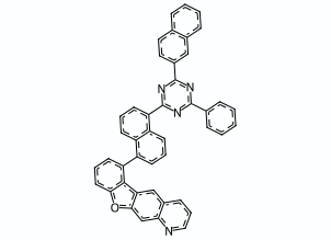 c1ccc(-c2nc(-c3ccc4ccccc4c3)nc(-c3cccc4c(-c5cccc6oc7cc8ncccc8cc7c56)cccc34)n2)cc1